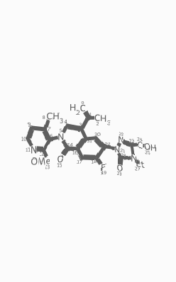 C=C(C)c1cn(-c2c(C)ccnc2OC)c(=O)c2cc(F)c(-n3nc(CO)n(CC)c3=O)cc12